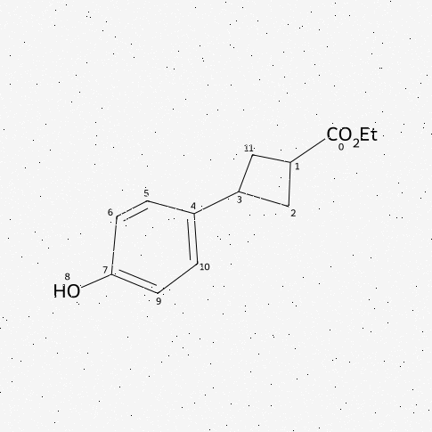 CCOC(=O)C1CC(c2ccc(O)cc2)C1